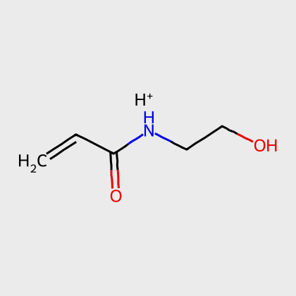 C=CC(=O)NCCO.[H+]